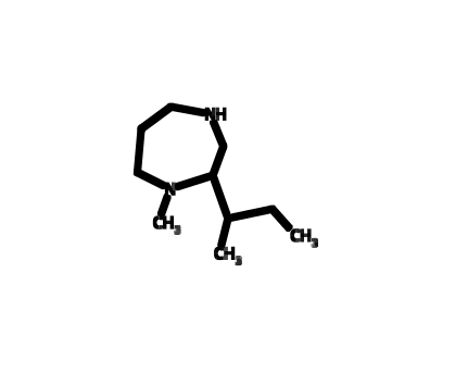 CCC(C)C1CNCCCN1C